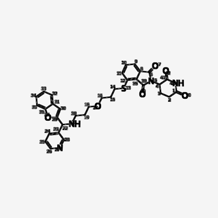 O=C1CCC(N2C(=O)c3cccc(SCCCOCCCNC(c4cccnc4)c4cc5ccccc5o4)c3C2=O)C(=O)N1